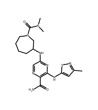 Cc1cc(Nc2nc(NC3CCCCN(C(=O)N(C)C)C3)cnc2C(N)=O)sn1